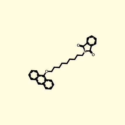 O=C1c2ccccc2C(=O)N1CCCCCCCCCOc1c2ccccc2cc2ccccc12